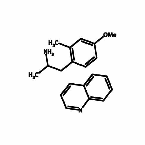 COc1ccc(CC(C)N)c(C)c1.c1ccc2ncccc2c1